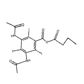 CCCC(=O)OC(=O)c1c(I)c(NC(C)=O)c(I)c(NC(C)=O)c1I